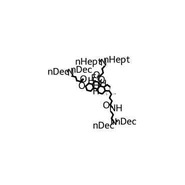 CCCCCCCCCCN(CCCCCCCCCC)CCCNC(=O)CC[C@@H](C)[C@H]1CC[C@H]2[C@@H]3[C@H](OC(=O)CCCN(CCCCCCC)CCCCCCC)[C@H](CC)[C@@H]4C[C@H](OC(=O)CCCN(CCCCCCCCCC)CCCCCCCCCC)CC[C@]4(C)[C@H]3CC[C@]12C